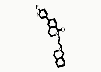 O=C1c2ccc(-c3ccc(F)nc3)cc2CCN1CCCN1CCc2ccccc2C1